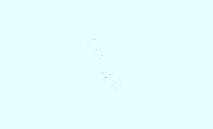 CC(=O)Nc1ccc2c(c1)OCc1cc(-c3cc(C)nn3C)nn1C2